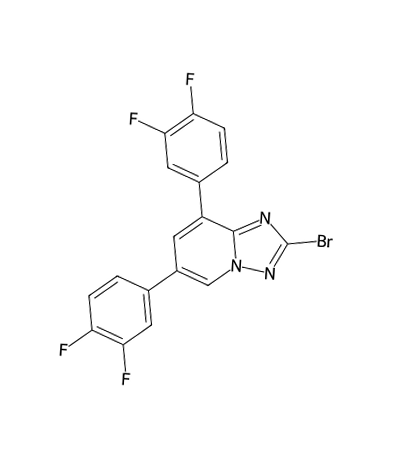 Fc1ccc(-c2cc(-c3ccc(F)c(F)c3)c3nc(Br)nn3c2)cc1F